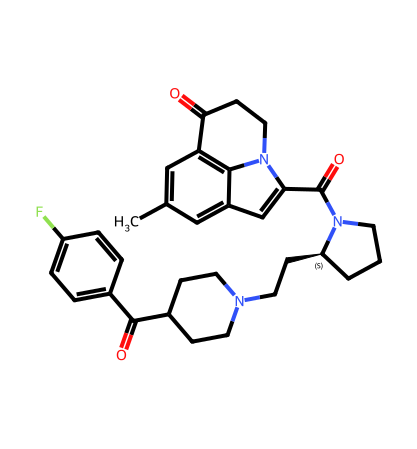 Cc1cc2c3c(c1)cc(C(=O)N1CCC[C@H]1CCN1CCC(C(=O)c4ccc(F)cc4)CC1)n3CCC2=O